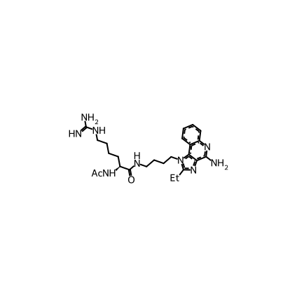 CCc1nc2c(N)nc3ccccc3c2n1CCCCNC(=O)[C@H](CCCCNC(=N)N)NC(C)=O